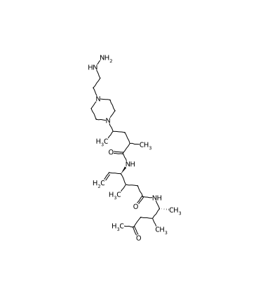 C=C[C@@H](NC(=O)C(C)CC(C)N1CCN(CCNN)CC1)C(C)CC(=O)N[C@H](C)C(C)CC(C)=O